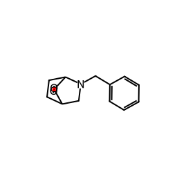 c1ccc(CN2CC3CCC2C32OCCO2)cc1